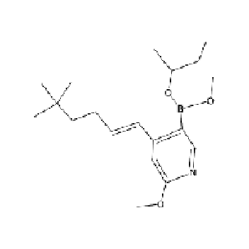 CCC(C)OB(OC)c1cnc(OC)cc1/C=C/CCC(C)(C)C